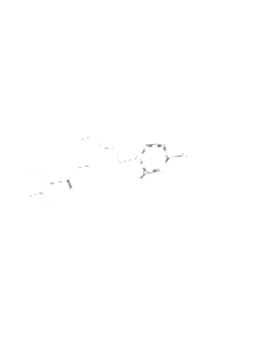 CC(C)C(N)C(=O)OC[C@H](CO)OCn1ccc(N)nc1=O